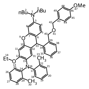 CCCCN(CCCC)c1ccc2c(c1)Oc1cc(OCC)c(N(c3ccccc3C)c3ccccc3C)cc1C2c1ccccc1COCc1ccc(OC)cc1